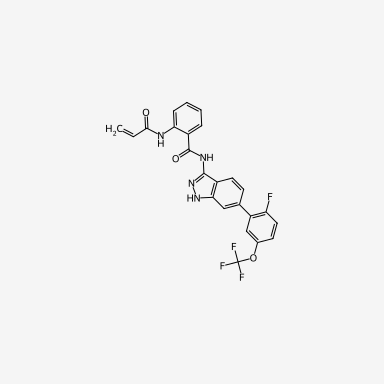 C=CC(=O)Nc1ccccc1C(=O)Nc1n[nH]c2cc(-c3cc(OC(F)(F)F)ccc3F)ccc12